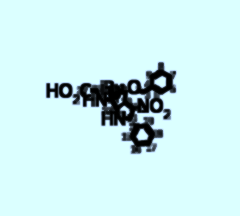 CC[C@H](C)[C@H](OCc1ccccc1)[C@H]1[C@H]([N+](=O)[O-])[C@H](c2ccccc2)N[C@@]1(C)C(=O)NCC(=O)O